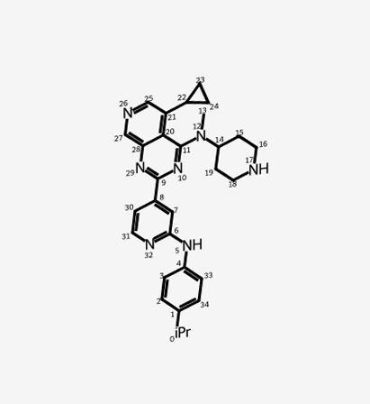 CC(C)c1ccc(Nc2cc(-c3nc(N(C)C4CCNCC4)c4c(C5CC5)cncc4n3)ccn2)cc1